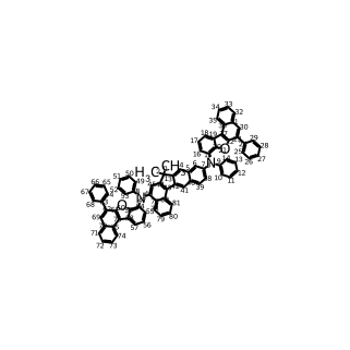 CC1(C)c2cc3cc(N(c4ccccc4)c4cccc5c4oc4c(-c6ccccc6)cc6ccccc6c45)ccc3cc2-c2c1cc(N(c1ccccc1)c1cccc3c1oc1c(-c4ccccc4)cc4ccccc4c13)c1ccccc21